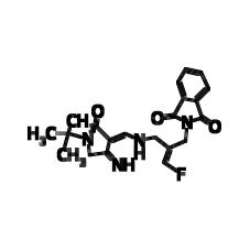 CC(C)(C)N1CC(=N)/C(=C\NC/C(=C/F)CN2C(=O)c3ccccc3C2=O)C1=O